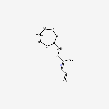 C=C/C=C(\CC)CNC1CCCNCC1